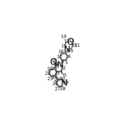 Cc1cn(-c2ccc(N3C[C@@H](C)O[C@@H](C)C3)cc2)c(=O)c2cccc(-c3cccnc3)c12